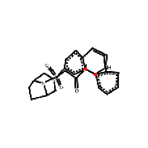 Cc1ccccc1NC(=O)CN1CC2CCC(C1)N2S(=O)(=O)c1ccc2c(c1)CNC=C2